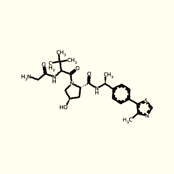 Cc1ncsc1-c1ccc([C@H](C)NC(=O)[C@@H]2C[C@@H](O)CN2C(=O)C(NC(=O)CN)C(C)(C)C)cc1